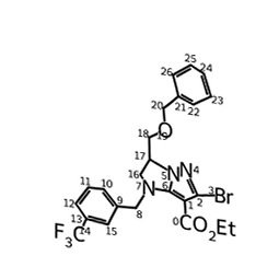 CCOC(=O)c1c(Br)nn2c1N(Cc1cccc(C(F)(F)F)c1)CC2COCc1ccccc1